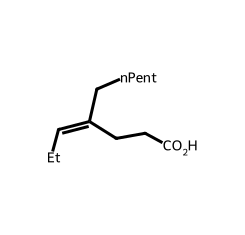 CCC=C(CCCCCC)CCC(=O)O